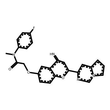 CN(C(=O)COc1ccc2oc(-c3cc4cccn4cn3)cc(=N)c2c1)c1ccc(F)cc1